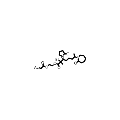 CCC(C)(C(=O)OCCOC(=O)CC(C)=O)C(CCCC(C)N1CCCCCC1=O)N1CCCC1=O